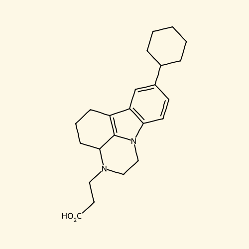 O=C(O)CCN1CCn2c3c(c4cc(C5CCCCC5)ccc42)CCCC31